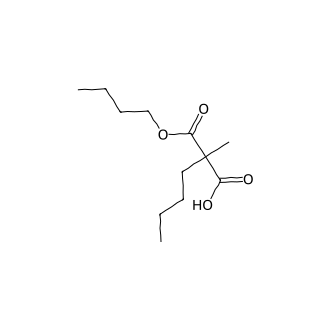 CCCCOC(=O)C(C)(CCCC)C(=O)O